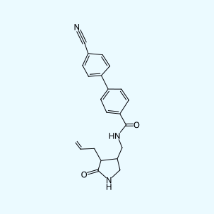 C=CCC1C(=O)NCC1CNC(=O)c1ccc(-c2ccc(C#N)cc2)cc1